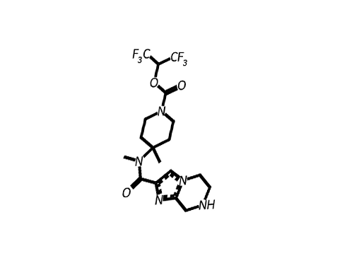 CN(C(=O)c1cn2c(n1)CNCC2)C1(C)CCN(C(=O)OC(C(F)(F)F)C(F)(F)F)CC1